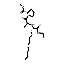 CCCCSCCSC[C@H](NC(C)C(=O)N1CCC[C@H]1C(=O)OC)C(=O)OCC